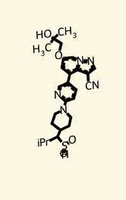 CC(C)C(C1CCN(c2ccc(-c3cc(OCC(C)(C)O)cn4ncc(C#N)c34)cn2)CC1)[SH](=O)=O